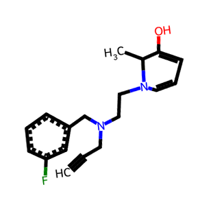 C#CCN(CCN1C=CC=C(O)C1C)Cc1cccc(F)c1